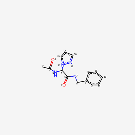 CC(=O)NC(C(=O)[N]Cc1ccccc1)n1cccn1